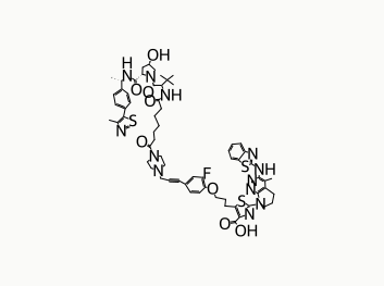 Cc1ncsc1-c1ccc([C@H](C)NC(=O)[C@@H]2C[C@@H](O)CN2C(=O)C(NC(=O)CCCCCC(=O)N2CCN(CC#Cc3ccc(OCCCc4sc(N5CCCc6c5nnc(Nc5nc7ccccc7s5)c6C)nc4C(=O)O)c(F)c3)CC2)C(C)(C)C)cc1